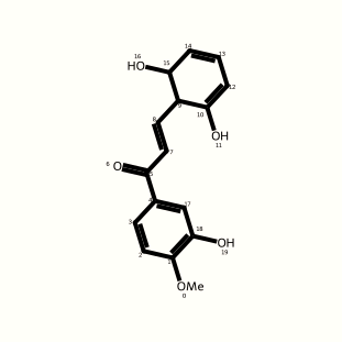 COc1ccc(C(=O)C=CC2C(O)=CC=CC2O)cc1O